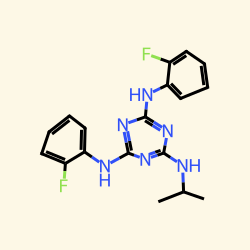 CC(C)Nc1nc(Nc2ccccc2F)nc(Nc2ccccc2F)n1